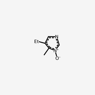 CCc1cnc[n+]([O-])c1C